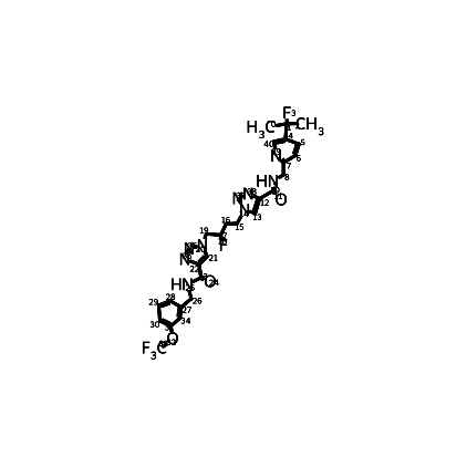 CC(C)(F)c1ccc(CNC(=O)c2cn(CCC(F)Cn3cc(C(=O)NCc4cccc(OC(F)(F)F)c4)nn3)nn2)nc1